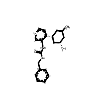 CC1C[C@H](O)C[C@H](c2ccncc2NC(=O)OCc2ccccc2)C1